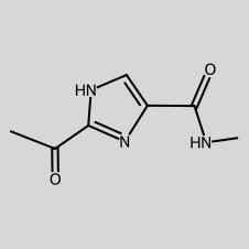 CNC(=O)c1c[nH]c(C(C)=O)n1